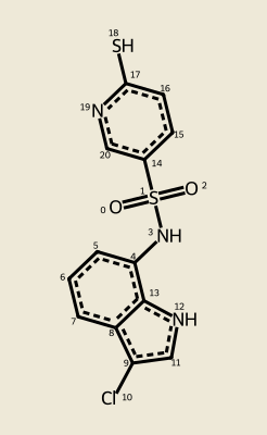 O=S(=O)(Nc1cccc2c(Cl)c[nH]c12)c1ccc(S)nc1